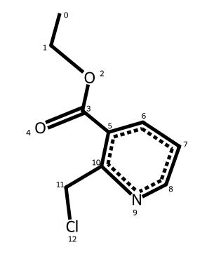 CCOC(=O)c1cccnc1CCl